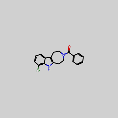 O=C(c1ccccc1)N1CCc2[nH]c3c(Br)cccc3c2CC1